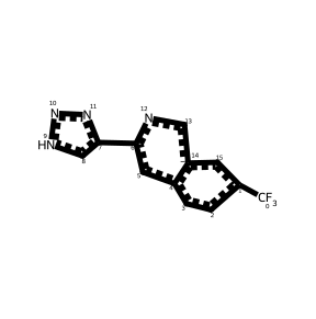 FC(F)(F)c1ccc2cc(-c3c[nH]nn3)ncc2c1